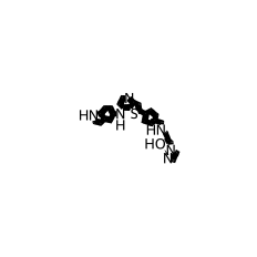 OC(CNCc1ccc(-c2cc3nccc(Nc4ccc5[nH]ccc5c4)c3s2)cc1)Cn1ccnc1